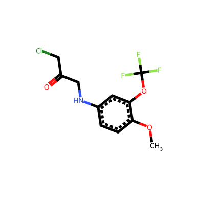 COc1ccc(NCC(=O)CCl)cc1OC(F)(F)F